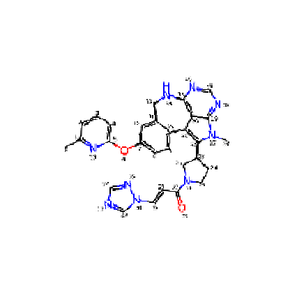 Cc1cccc(Oc2ccc3c(c2)CNc2ncnc4c2c-3c(C2CCN(C(=O)/C=C/n3cncn3)C2)n4C)n1